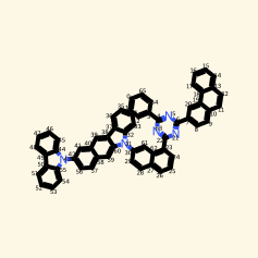 c1ccc(-c2nc(-c3ccc4ccc5ccccc5c4c3)nc(-c3cccc4ccc(-n5c6ccccc6c6cc7cc(-n8c9ccccc9c9ccccc98)ccc7cc65)cc34)n2)cc1